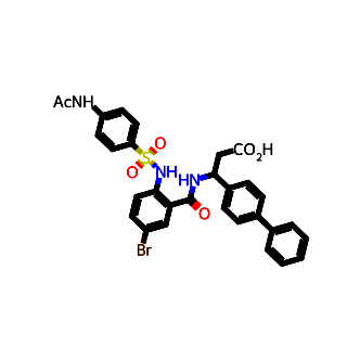 CC(=O)Nc1ccc(S(=O)(=O)Nc2ccc(Br)cc2C(=O)NC(CC(=O)O)c2ccc(-c3ccccc3)cc2)cc1